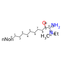 CCCCCCCCCCCCCCCCCC(=O)C(N)N(C)CC